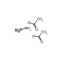 CC(=O)[O-].CC(=O)[O-].NN.[Mg+2]